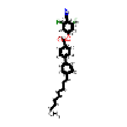 CCCCCCCCCc1ccc(-c2ccc(C(=O)Oc3cc(F)c(C#N)c(F)c3)cc2)cc1